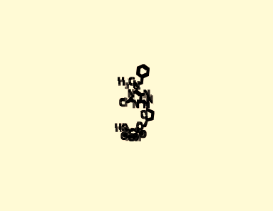 CN(Cc1ccccc1)c1nc(Cl)nc2c1nnn2[C@H]1CC[C@@H](COP(=O)(O)CP(=O)(O)O)O1